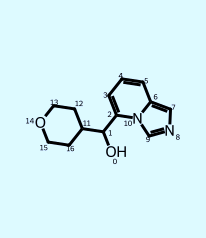 OC(c1cccc2cncn12)C1CCOCC1